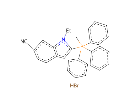 Br.CCn1c(P(C)(c2ccccc2)(c2ccccc2)c2ccccc2)cc2ccc(C#N)cc21